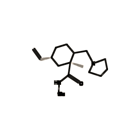 C=C[C@@H]1CCC(CN2CCCC2)[C@@](C)(C(=O)NC(C)(C)C)C1